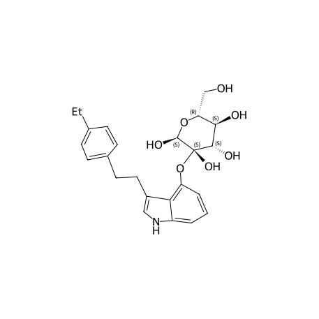 CCc1ccc(CCc2c[nH]c3cccc(O[C@]4(O)[C@@H](O)O[C@H](CO)[C@@H](O)[C@@H]4O)c23)cc1